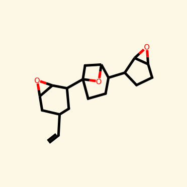 C=CC1CC2OC2C(C23CCC(C4CCC5OC54)C(C2)O3)C1